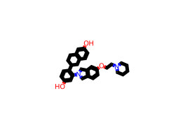 Oc1ccc2c(c1)CCC(c1ccc(O)cc1N1Cc3ccc(OCCN4CCCCC4)cc3C1)C2